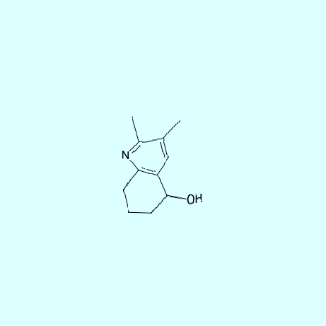 Cc1cc2c(nc1C)CCCC2O